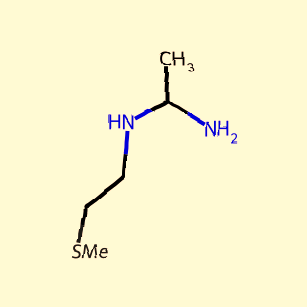 CSCCNC(C)N